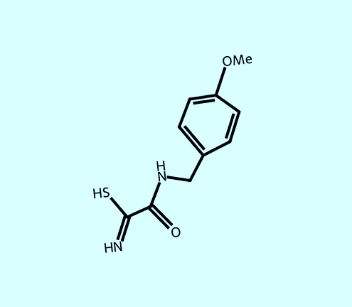 COc1ccc(CNC(=O)C(=N)S)cc1